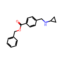 O=C(OCc1ccccc1)c1ccc(CNC2CC2)cc1